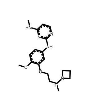 CNc1ccnc(Nc2ccc(OC)c(OCC[C@H](C)N3CCC3)c2)n1